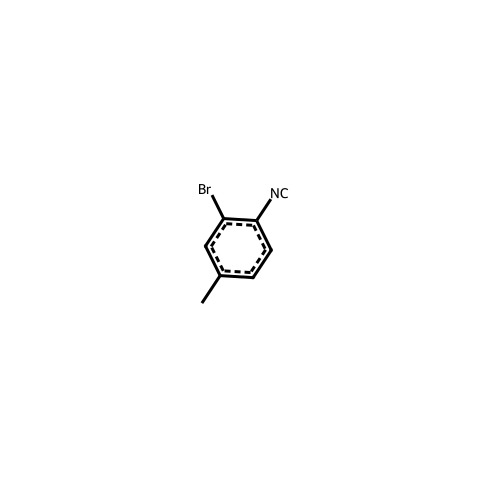 [C-]#[N+]c1ccc(C)cc1Br